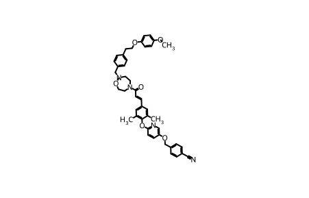 COc1ccc(OCCc2ccc(CN3CCN(C(=O)C=Cc4cc(C)c(Oc5ccc(OCc6ccc(C#N)cc6)cn5)c(C)c4)CCO3)cc2)cc1